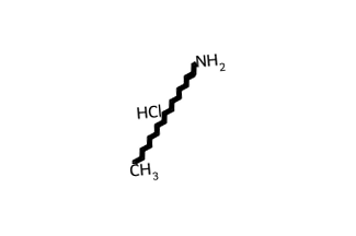 CCCCCCCCCCCCCCCC=CCN.Cl